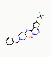 O[C@@H]1CN(Cc2ccccc2)CC[C@H]1Nc1ncnc2sc(CC(F)(F)F)cc12